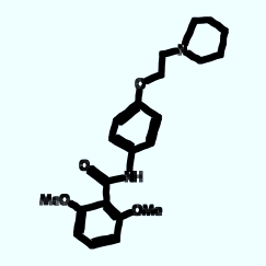 COc1cccc(OC)c1C(=O)Nc1ccc(OCCN2CCCCC2)cc1